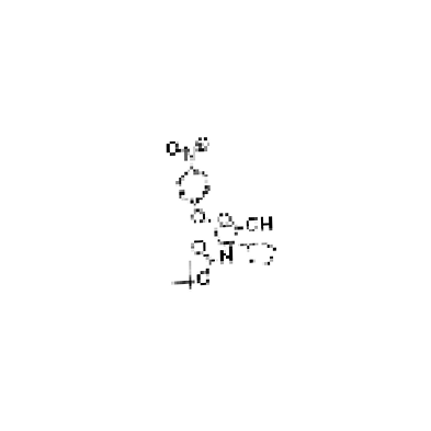 CC(C)(C)OC(=O)N[C@](CCOc1ccc([N+](=O)[O-])cc1)(C(=O)O)C1CCCC1